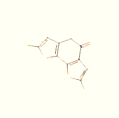 C[C@@H]1C(=O)c2cc(Br)sc2-c2sc(Br)cc21